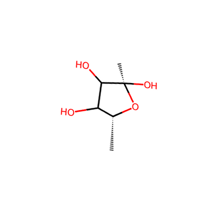 C[C@H]1O[C@](C)(O)C(O)C1O